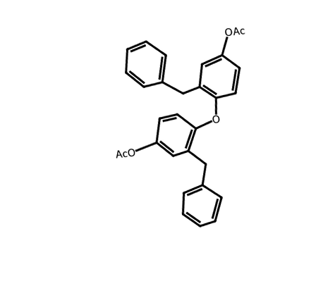 CC(=O)Oc1ccc(Oc2ccc(OC(C)=O)cc2Cc2ccccc2)c(Cc2ccccc2)c1